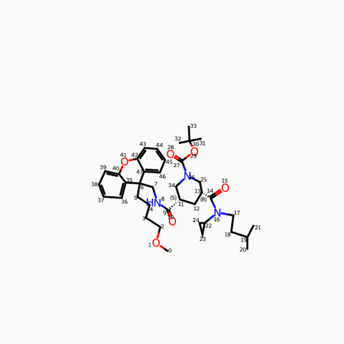 COCCCCC1(CNC(=O)[C@H]2C[C@@H](C(=O)N(CCC(C)C)C3CC3)CN(C(=O)OC(C)(C)C)C2)c2ccccc2Oc2ccccc21